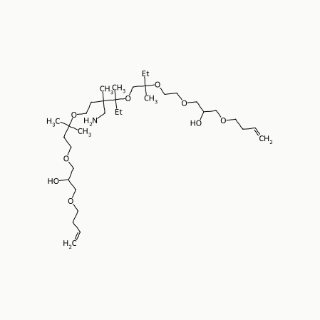 C=CCCOCC(O)COCCOC(C)(CC)COC(C)(CC)C(C)(CN)CCOC(C)(C)CCOCC(O)COCCC=C